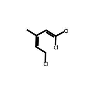 CC(C=C(Cl)Cl)=CCCl